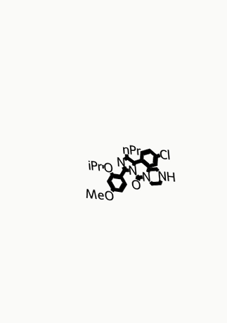 CCCC1N=C(c2ccc(OC)cc2OC(C)C)N(C(=O)N2CCNCC2)C1c1ccc(Cl)cc1